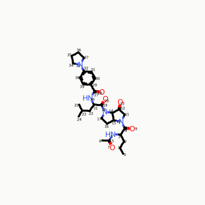 CCCC(NC(C)=O)C(=O)N1CC(=O)C2C1CCN2C(=O)C(CC(C)C)NC(=O)c1ccc(N2CCCC2)cc1